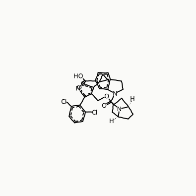 O=C(O)c1ccc2c(c1)N(C(=O)N1[C@@H]3CC[C@H]1CC(OCc1c(-c4c(Cl)cccc4Cl)noc1C1CC1)C3)CC2